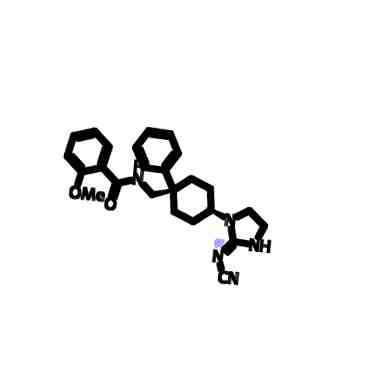 COc1ccccc1C(=O)NC[C@]1(c2ccccc2)CC[C@H](N2CCN/C2=N\C#N)CC1